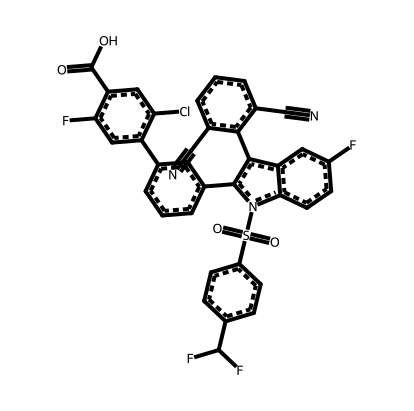 N#Cc1cccc(C#N)c1-c1c(-c2cccc(-c3cc(F)c(C(=O)O)cc3Cl)c2)n(S(=O)(=O)c2ccc(C(F)F)cc2)c2ccc(F)cc12